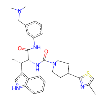 Cc1csc(C2CCN(C(=O)N[C@@H](C(=O)Nc3cccc(CN(C)C)c3)[C@@H](C)c3c[nH]c4ccccc34)CC2)n1